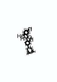 O=C(Nc1ccc(N(CC2CC2)CC2CC2)cc1Cl)c1cc(Cl)ccc1O